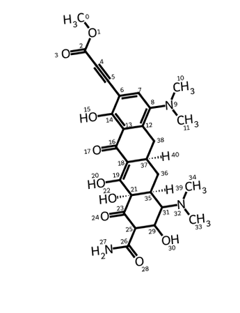 COC(=O)C#Cc1cc(N(C)C)c2c(c1O)C(=O)C1=C(O)[C@]3(O)C(=O)C(C(N)=O)C(O)C(N(C)C)[C@@H]3C[C@@H]1C2